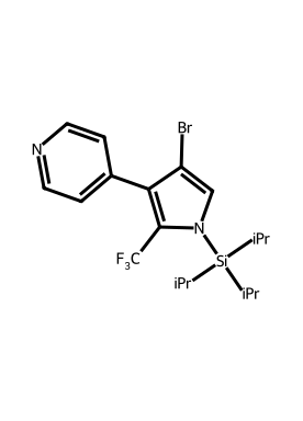 CC(C)[Si](C(C)C)(C(C)C)n1cc(Br)c(-c2ccncc2)c1C(F)(F)F